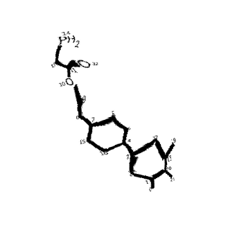 Cc1cc(C2CCC(CCOC(=O)CP)CC2)cc(C)c1C